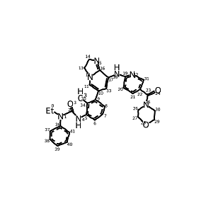 CCN(C(=O)Nc1cccc(C2=CN3CCN=C3C(Nc3ccc(C(=O)N4CCOCC4)cn3)=C2)c1C)c1ccccc1